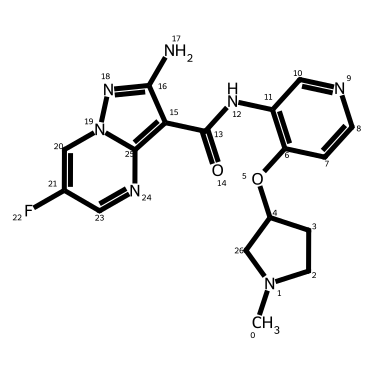 CN1CCC(Oc2ccncc2NC(=O)c2c(N)nn3cc(F)cnc23)C1